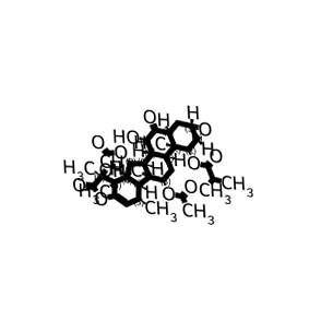 CC(=O)O[C@@H]1[C@H]2[C@@H]3[C@@H](O)C(=O)[C@H]4C[C@@H]5O[C@@H]5[C@H](OC(=O)C(C)C)[C@]4(C)[C@H]3C[C@H](OC(C)=O)[C@]2(C)[C@@H]2[C@@H]1[C@]1(C)C(=C[C@H]2C)OC(=O)[C@@]1(C)O